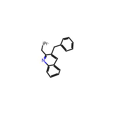 C[C](C)Cc1nc2ccccc2cc1Cc1ccccc1